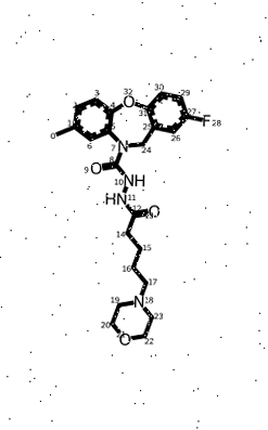 Cc1ccc2c(c1)N(C(=O)NNC(=O)CCCCN1CCOCC1)Cc1cc(F)ccc1O2